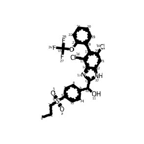 CCCS(=O)(=O)c1ccc(C(O)c2nc3c(Cl)c(-c4ccccc4OC(F)(F)F)c(Cl)cc3[nH]2)cc1